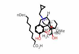 CCCCCCCCCCCCCCCCCC(=O)O.CO[C@@]12CC[C@@]3(C[C@@H]1[C@](C)(O)C(C)(C)C)[C@H]1Cc4ccc(O)c5c4[C@@]3(CCN1CC1CC1)[C@H]2O5